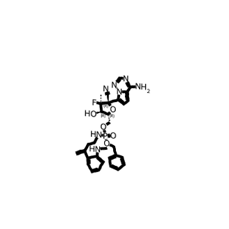 C=C(CCNP(=O)(OCc1ccccc1)OC[C@H]1O[C@@](C#N)(c2ccc3c(N)ncnn23)[C@](C)(F)[C@@H]1O)c1ccccc1NC